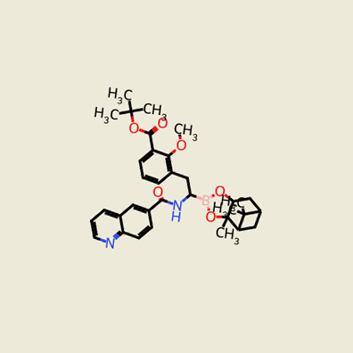 COc1c(CC(NC(=O)c2ccc3ncccc3c2)B2OC3CC4CC(C4(C)C)C3(C)O2)cccc1C(=O)OC(C)(C)C